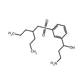 CCCC(CCC)CS(=O)(=O)c1cccc(C(O)CCN)c1